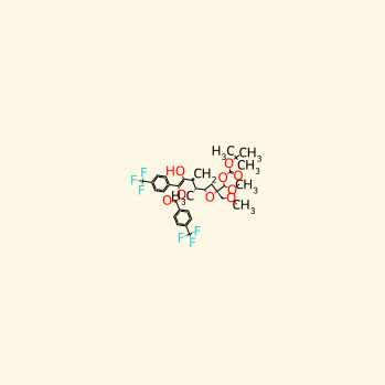 C=C(/C(O)=C(\OC(=O)c1ccc(C(F)(F)F)cc1)c1ccc(C(F)(F)F)cc1)[C@@H](C)C1C[C@](COC)(C(OC)OC(=O)OC(C)(C)C)O1